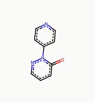 O=c1cccnn1-c1ccncc1